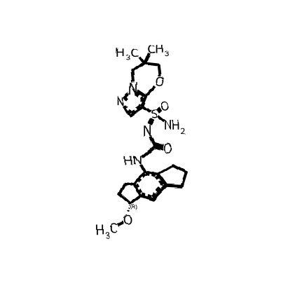 CO[C@@H]1CCc2c1cc1c(c2NC(=O)N=S(N)(=O)c2cnn3c2OCC(C)(C)C3)CCC1